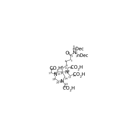 CCCCCCCCCCN(CCCCCCCCCC)C(=O)CCCCC1(N(CC(=O)O)CC(=O)O)CN(CC(=O)O)CCN(CC(=O)O)C1